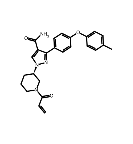 C=CC(=O)N1CCC[C@@H](n2cc(C(N)=O)c(-c3ccc(Oc4ccc(C)cc4)cc3)n2)C1